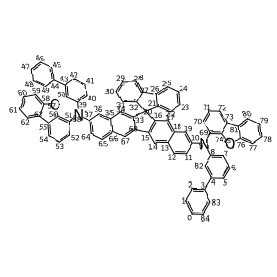 c1ccc(-c2cccc(N(c3ccc4cc5c(cc4c3)C3(c4ccccc4-c4ccccc43)c3cc4cc(N(c6cccc(-c7ccccc7)c6)c6cccc7c6oc6ccccc67)ccc4cc3-5)c3cccc4c3oc3ccccc34)c2)cc1